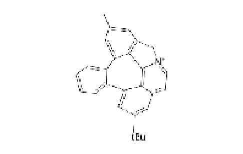 Cc1cc2c3c(c1)-c1ccccc1-c1cc(C(C)(C)C)cc4cc[n+](c-3c14)C2